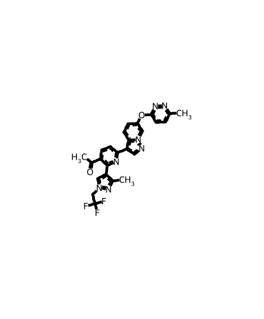 CC(=O)c1ccc(-c2cnn3cc(Oc4ccc(C)nn4)ccc23)nc1-c1cn(CC(F)(F)F)nc1C